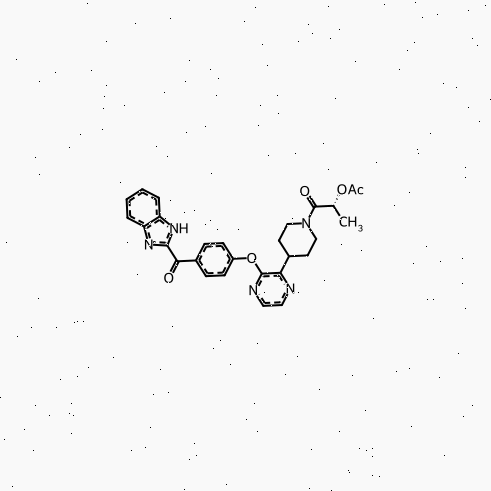 CC(=O)O[C@H](C)C(=O)N1CCC(c2nccnc2Oc2ccc(C(=O)c3nc4ccccc4[nH]3)cc2)CC1